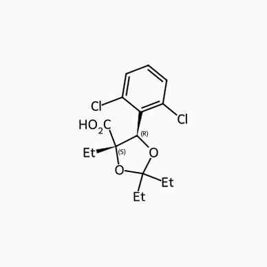 CCC1(CC)O[C@H](c2c(Cl)cccc2Cl)[C@@](CC)(C(=O)O)O1